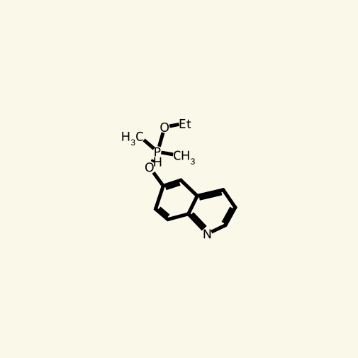 CCO[PH](C)(C)Oc1ccc2ncccc2c1